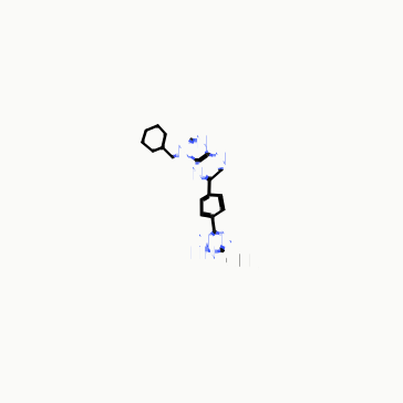 Cc1nc(-c2ccc(-c3cnc4ncn(CC5CCCCC5)c4n3)cc2)n[nH]1